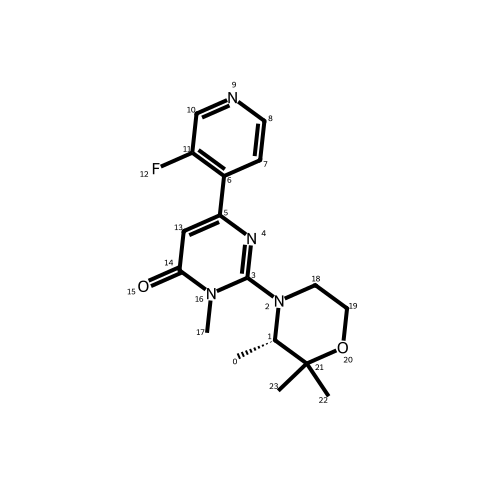 C[C@@H]1N(c2nc(-c3ccncc3F)cc(=O)n2C)CCOC1(C)C